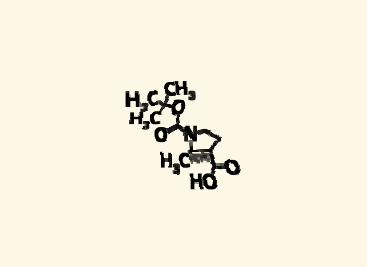 C[C@@H]1[C@H](C(=O)O)CCN1C(=O)OC(C)(C)C